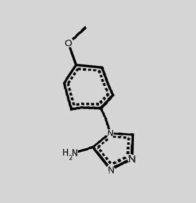 COc1ccc(-n2cnnc2N)cc1